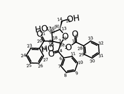 O=C(O[C@@]1(C(=O)c2ccccc2)O[C@H](CO)[C@@H](O)[C@@]1(O)C(=O)c1ccccc1)c1ccccc1